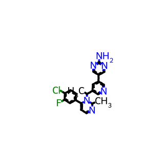 CC1N=CC=C(c2ccc(Cl)c(F)c2)N1C(C)c1cncc(-c2cnc(N)nc2)c1